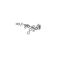 O=C(O)CCNC(=O)c1ccc(CN(C(=O)Nc2ccc3c(c2)OC(F)(F)C(F)(F)O3)C2CCC(C3CCCCC3)CC2)cc1